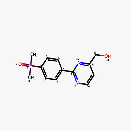 CP(C)(=O)c1ccc(-c2nccc(CO)n2)cc1